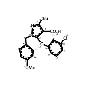 COc1ccc(Cn2nc(C(C)(C)C)c(C(=O)O)c2Oc2cccc(Cl)c2)cc1